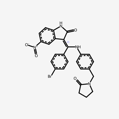 O=C1Nc2ccc([N+](=O)[O-])cc2/C1=C(/Nc1ccc(CN2CCCC2=O)cc1)c1ccc(Br)cc1